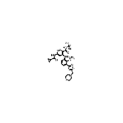 [2H]C([2H])([2H])NC(=O)c1nnc(NC(=O)C2CC2)cc1Nc1cccc(-c2noc(CN3CCSCC3)n2)c1OC